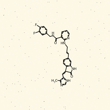 Cc1nc[nH]c1/C=C1\C(=O)Nc2cc(/C=C/CNc3ncccc3C(=O)NCc3ccc(F)c(F)c3)ccc21